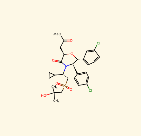 COC(=O)C[C@H]1O[C@H](c2cccc(Cl)c2)[C@@H](c2ccc(Cl)cc2)N([C@H](CS(=O)(=O)CC(C)(C)O)C2CC2)C1=O